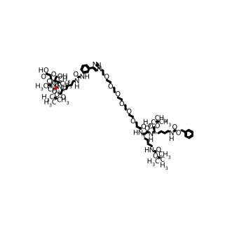 CC(C)(C)OC(=O)NCCCC[C@H](NC(=O)CCOCCOCCOCCOCCOCCOCCn1cc(-c2cccc(NC(=O)NCCCC[C@H](NC(=O)N(C(C)(C)C)[C@@](CCC(=O)O)(C(=O)O)C(C)(C)C)C(=O)OC(C)(C)C)c2)nn1)C(=O)N[C@@H](CCCCNC(=O)OCc1ccccc1)C(=O)OC(C)(C)C